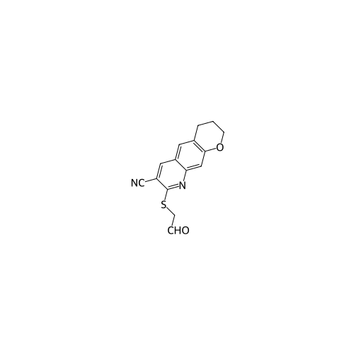 N#Cc1cc2cc3c(cc2nc1SCC=O)OCCC3